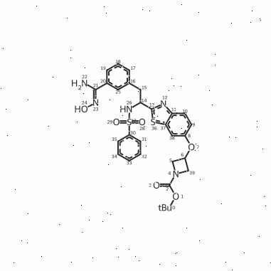 CC(C)(C)OC(=O)N1CC(Oc2ccc3nc(C(Cc4cccc(C(N)=NO)c4)NS(=O)(=O)c4ccccc4)sc3c2)C1